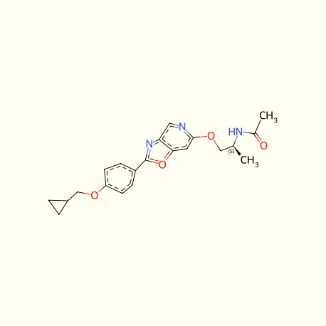 CC(=O)N[C@@H](C)COc1cc2oc(-c3ccc(OCC4CC4)cc3)nc2cn1